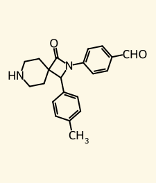 Cc1ccc(C2N(c3ccc(C=O)cc3)C(=O)C23CCNCC3)cc1